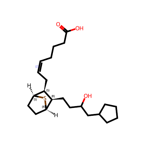 O=C(O)CCC/C=C\C[C@H]1[C@@H](CCC(O)CC2CCCC2)[C@H]2CC[C@@H]1S2